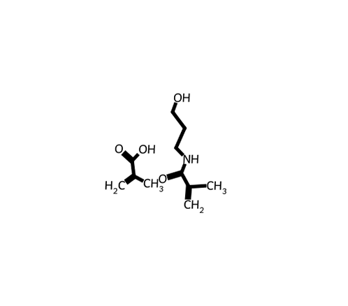 C=C(C)C(=O)NCCCO.C=C(C)C(=O)O